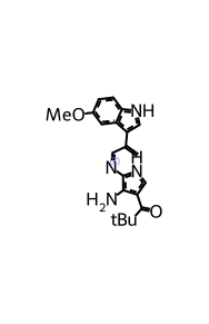 C=C(/C=N\c1[nH]cc(C(=O)C(C)(C)C)c1N)c1c[nH]c2ccc(OC)cc12